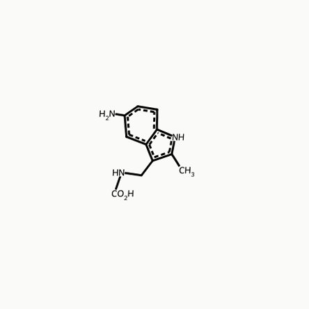 Cc1[nH]c2ccc(N)cc2c1CNC(=O)O